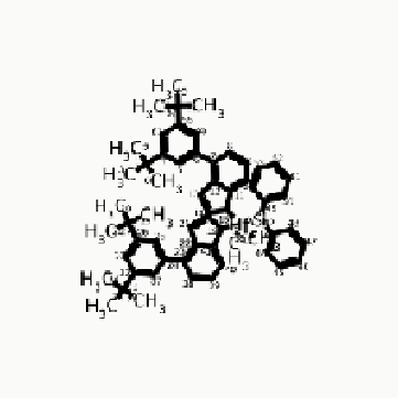 CC(C)(C)c1cc(-c2cccc3c2C=C[CH]3[Hf]([CH3])([CH3])([CH]2C=Cc3c(-c4cc(C(C)(C)C)cc(C(C)(C)C)c4)cccc32)=[Si](c2ccccc2)c2ccccc2)cc(C(C)(C)C)c1